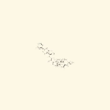 Cc1nccc(N2CCN(C(=O)CCC(C)[C@H]3CC[C@H]4[C@@H]5CC=C6C[C@@H](O)CC[C@]6(C)[C@H]5CC[C@]34C)[C@@H](C)C2)n1